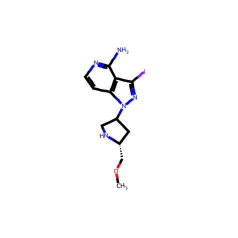 COC[C@H]1CC(n2nc(I)c3c(N)nccc32)CN1